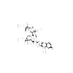 CC(F)(F)C(=O)NC(C(=O)N1CC2C(C1C(=O)NC(C#N)C[C@@H]1Oc3ccc(F)cc3NC1=O)C2(C)C)C(C)(C)O